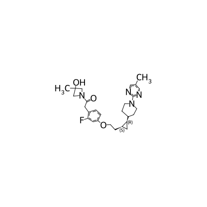 Cc1cnc(N2CCC([C@H]3C[C@H]3CCOc3ccc(CC(=O)N4CC(C)(O)C4)c(F)c3)CC2)nc1